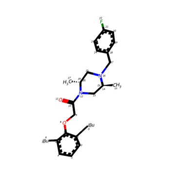 CCC(C)c1cccc(C(C)CC)c1OCC(=O)N1C[C@H](C)N(Cc2ccc(F)cc2)C[C@H]1C